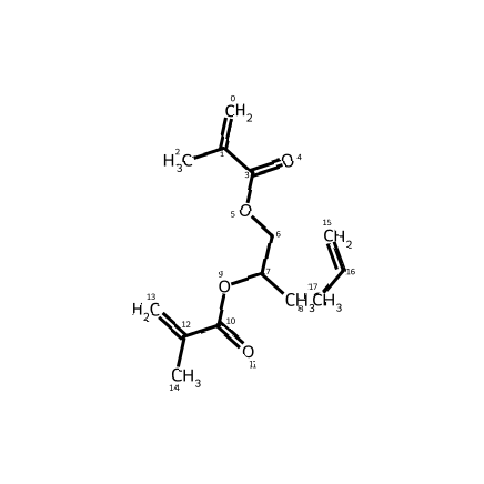 C=C(C)C(=O)OCC(C)OC(=O)C(=C)C.C=CC